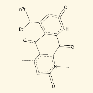 CCCC(CC)c1cc(=O)[nH]c2c1C(=O)c1c(C)cc(=O)n(C)c1C2=O